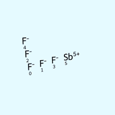 [F-].[F-].[F-].[F-].[F-].[Sb+5]